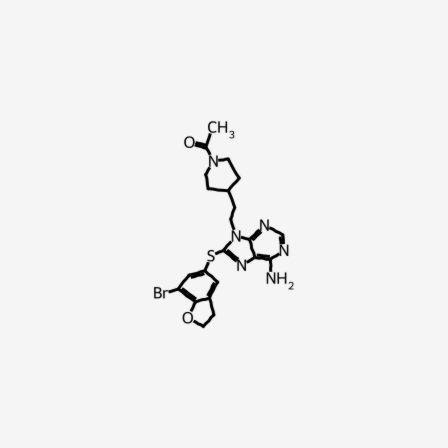 CC(=O)N1CCC(CCn2c(Sc3cc(Br)c4c(c3)CCO4)nc3c(N)ncnc32)CC1